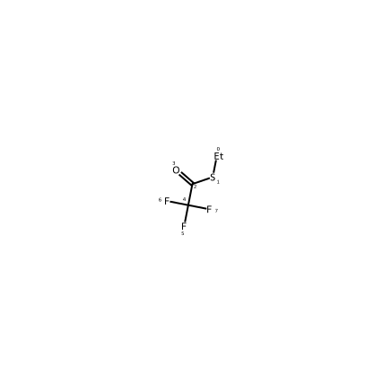 [CH2]CSC(=O)C(F)(F)F